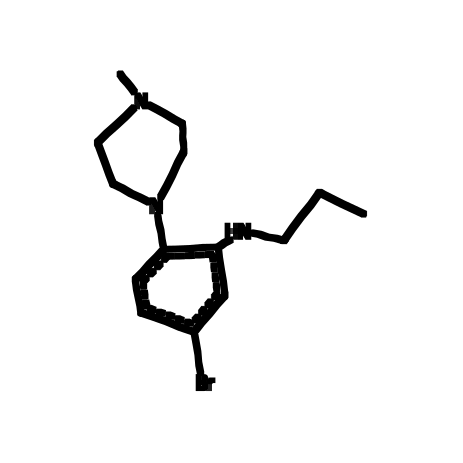 CCCNc1cc(Br)ccc1N1CCN(C)CC1